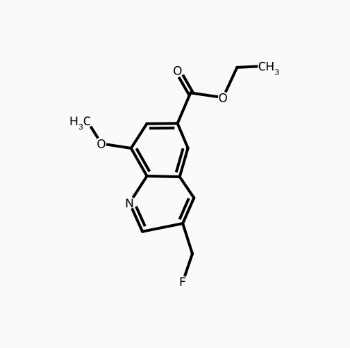 CCOC(=O)c1cc(OC)c2ncc(CF)cc2c1